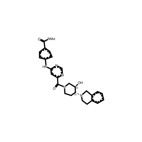 CNC(=O)c1ccc(Nc2cc(C(=O)N3CC[C@@H](N4CCc5ccccc5C4)[C@H](O)C3)ncn2)cc1